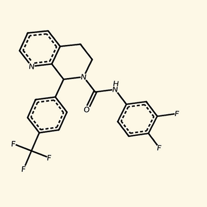 O=C(Nc1ccc(F)c(F)c1)N1CCc2cccnc2C1c1ccc(C(F)(F)F)cc1